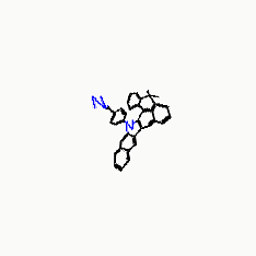 CC1(C)c2ccccc2-c2c3c1cccc3cc1c3cc4ccccc4cc3n(-c3ccc(C#N)cc3)c21